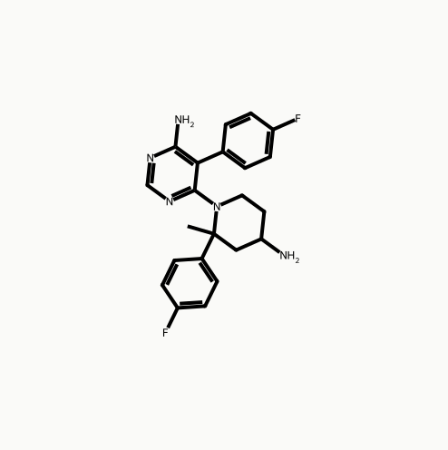 CC1(c2ccc(F)cc2)CC(N)CCN1c1ncnc(N)c1-c1ccc(F)cc1